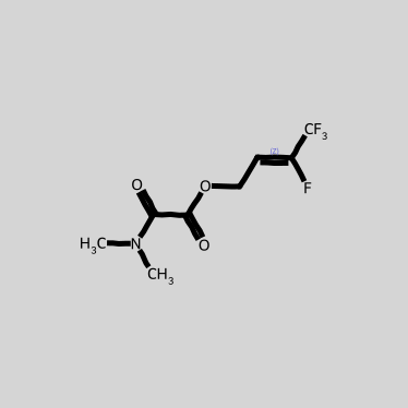 CN(C)C(=O)C(=O)OC/C=C(\F)C(F)(F)F